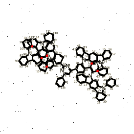 c1ccc(-c2cc(-c3ccc(-c4cnccc4-n4c5ccccc5c5cc6c7ccccc7n(-c7ccccc7)c6cc54)c(-n4c5ccccc5c5cc6c7ccccc7n(-c7ccccc7)c6cc54)c3)nc(-c3ccc(-c4cnccc4-n4c5ccccc5c5cc6c7ccccc7n(-c7ccccc7)c6cc54)c(-n4c5ccccc5c5cc6c7ccccc7n(-c7ccccc7)c6cc54)c3)n2)cc1